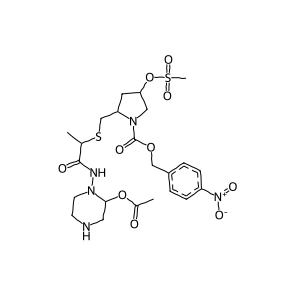 CC(=O)OC1CNCCN1NC(=O)C(C)SCC1CC(OS(C)(=O)=O)CN1C(=O)OCc1ccc([N+](=O)[O-])cc1